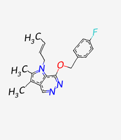 CC=CCn1c(C)c(C)c2cnnc(OCc3ccc(F)cc3)c21